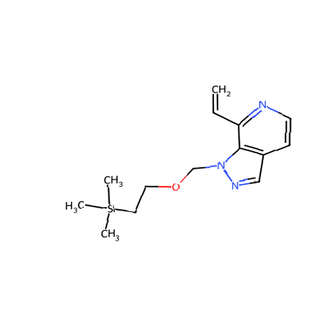 C=Cc1nccc2cnn(COCC[Si](C)(C)C)c12